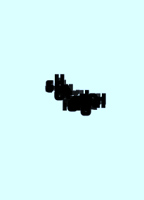 CCCCc1nc(Cl)c(C(=O)NCCc2cccs2)n1Cc1ccc(S(=O)(=O)NC(=O)CNC(=O)C(CC(C)C)C(=O)NO)cc1